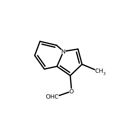 Cc1cn2ccccc2c1OC=O